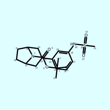 CC(C)(C)OC(=O)N1C2CCC1CC(c1cccc(NS(C)(=O)=O)c1)C2